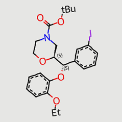 CCOc1ccccc1O[C@@H](c1cccc(I)c1)[C@@H]1CN(C(=O)OC(C)(C)C)CCO1